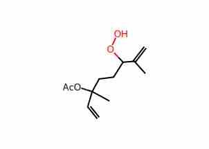 C=CC(C)(CCC(OO)C(=C)C)OC(C)=O